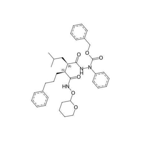 CC(C)C[C@@H](C(=O)NN(C(=O)OCc1ccccc1)c1ccccc1)[C@H](CCCc1ccccc1)C(=O)NOC1CCCCO1